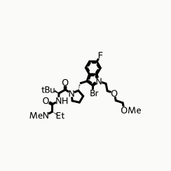 CC[C@H](NC)C(=O)N[C@H](C(=O)N1CCC[C@H]1Cc1c(Br)n(CCOCCOC)c2cc(F)ccc12)C(C)(C)C